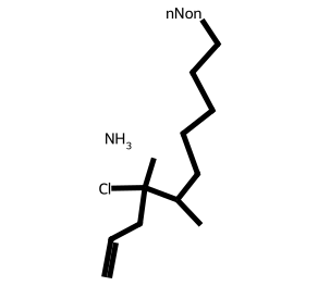 C=CCC(C)(Cl)C(C)CCCCCCCCCCCCCC.N